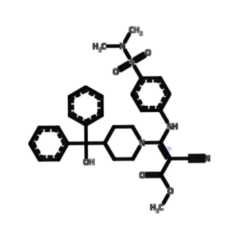 COC(=O)/C(C#N)=C(/Nc1ccc(S(=O)(=O)N(C)C)cc1)N1CCC(C(O)(c2ccccc2)c2ccccc2)CC1